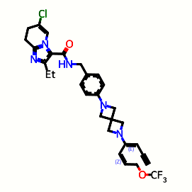 C#C/C=C(\C=C/COC(F)(F)F)N1CC2(C1)CN(c1ccc(CNC(=O)c3c(CC)nc4n3C=C(Cl)CC4)cc1)C2